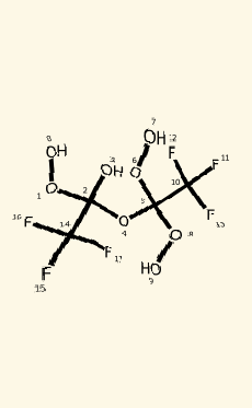 OOC(O)(OC(OO)(OO)C(F)(F)F)C(F)(F)F